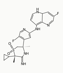 C[C@@]1(c2cc(NC3=C4N=CC(F)=CC4NC=C3)ncc2F)CS(=O)(=O)[C@@](C)(C2CC2)C(=N)N1